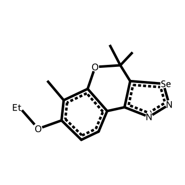 CCOc1ccc2c(c1C)OC(C)(C)c1[se]nnc1-2